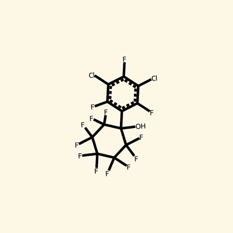 OC1(c2c(F)c(Cl)c(F)c(Cl)c2F)C(F)(F)C(F)(F)C(F)(F)C(F)(F)C1(F)F